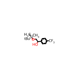 CC(C)(C)[Si](C)(C)OCC(O)c1ccc(C(F)(F)F)cc1